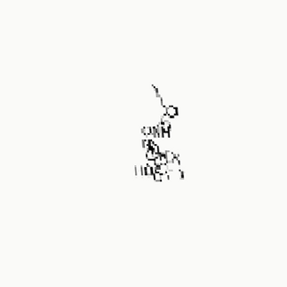 C=CCCCc1ccccc1CC(=O)CNC(=O)c1cn2c(N3CCC(C)(CCC=C)CC3)c([C@H](OC(C)(C)C)C(=O)O)c(C)cc2n1